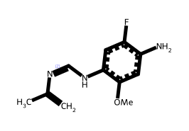 C=C(C)/N=C\Nc1cc(F)c(N)cc1OC